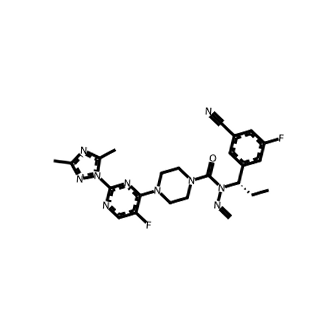 C=NN(C(=O)N1CCN(c2nc(-n3nc(C)nc3C)ncc2F)CC1)[C@@H](CC)c1cc(F)cc(C#N)c1